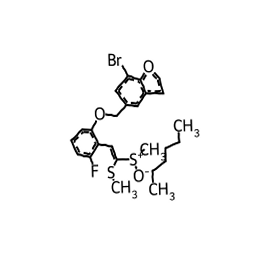 CCCCCC.CSC(=Cc1c(F)cccc1OCc1cc(Br)c2occc2c1)[S+](C)[O-]